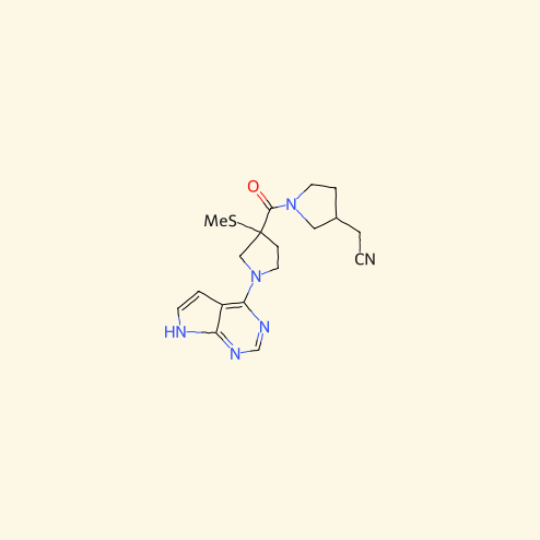 CSC1(C(=O)N2CCC(CC#N)C2)CCN(c2ncnc3[nH]ccc23)C1